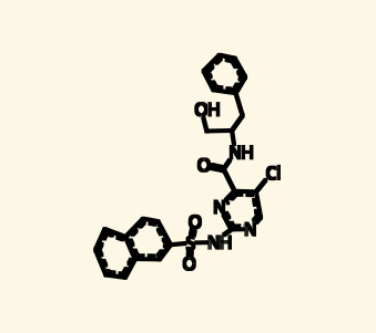 O=C(NC(CO)Cc1ccccc1)c1nc(NS(=O)(=O)c2ccc3ccccc3c2)ncc1Cl